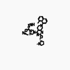 Cc1cccc2cccc(N3CCc4c(nc(OC[C@@H]5CCCN5C)nc4N4C[C@H](CC#N)N(C(=O)[C@H]5CN5)C4)C3)c12